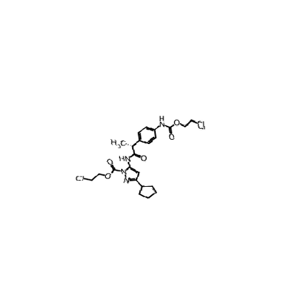 C[C@@H](C(=O)Nc1cc(C2CCCC2)nn1C(=O)OCCCl)c1ccc(NC(=O)OCCCl)cc1